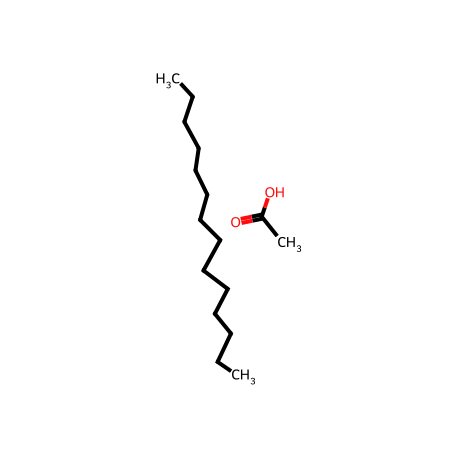 CC(=O)O.CCCCCCCCCCCCCC